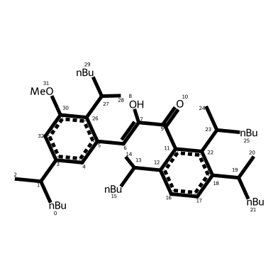 CCCCC(C)c1cc(C=C(O)C(=O)c2c(C(C)CCCC)ccc(C(C)CCCC)c2C(C)CCCC)c(C(C)CCCC)c(OC)c1